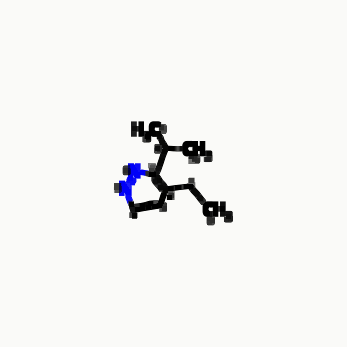 CCc1ccnnc1C(C)C